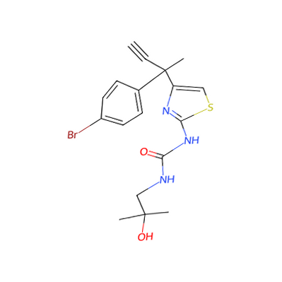 C#CC(C)(c1ccc(Br)cc1)c1csc(NC(=O)NCC(C)(C)O)n1